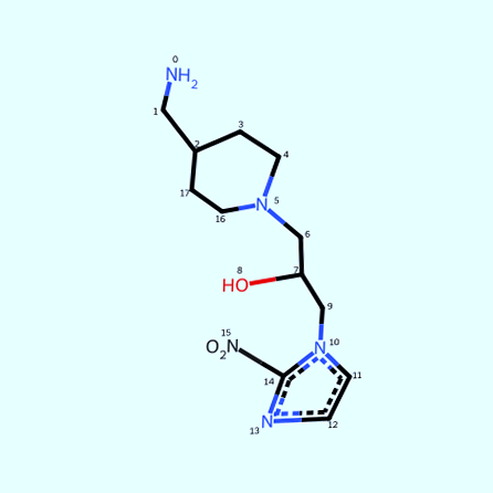 NCC1CCN(CC(O)Cn2ccnc2[N+](=O)[O-])CC1